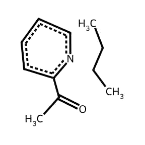 CC(=O)c1ccccn1.CCCC